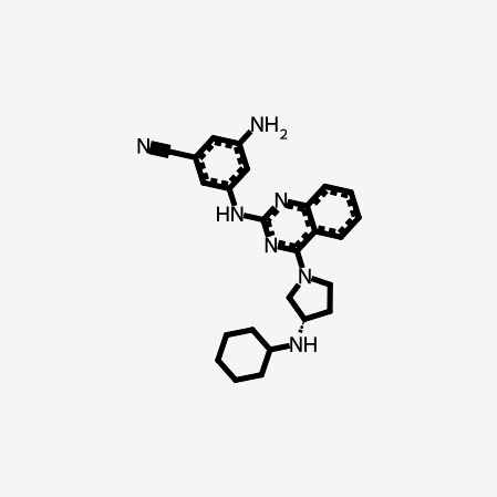 N#Cc1cc(N)cc(Nc2nc(N3CC[C@H](NC4CCCCC4)C3)c3ccccc3n2)c1